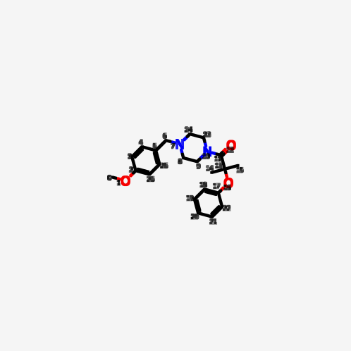 COc1ccc(CN2CCN(C(=O)C(C)(C)Oc3ccccc3)CC2)cc1